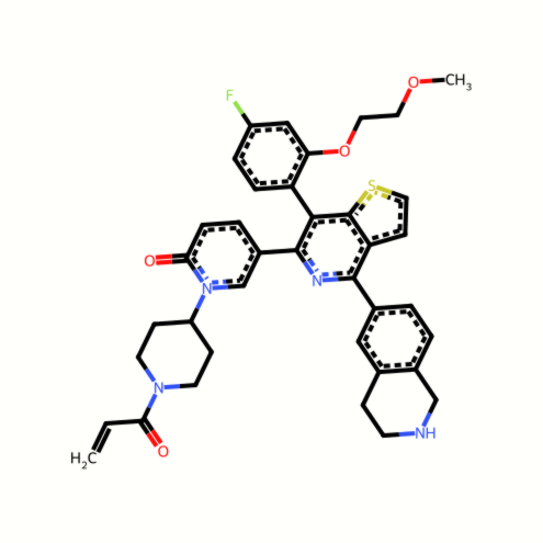 C=CC(=O)N1CCC(n2cc(-c3nc(-c4ccc5c(c4)CCNC5)c4ccsc4c3-c3ccc(F)cc3OCCOC)ccc2=O)CC1